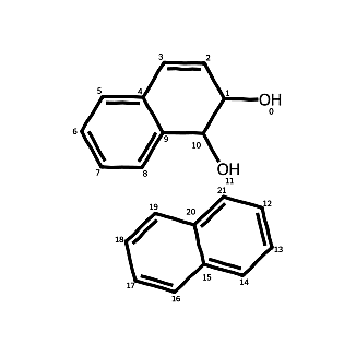 OC1C=Cc2ccccc2C1O.c1ccc2ccccc2c1